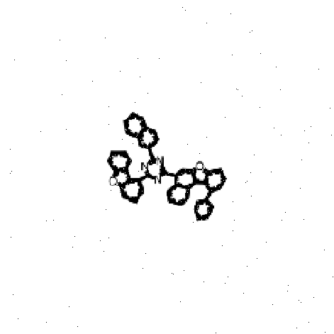 c1ccc(-c2cccc3oc4cc(-c5nc(-c6ccc7ccccc7c6)nc(-c6cccc7oc8ccccc8c67)n5)c5ccccc5c4c23)cc1